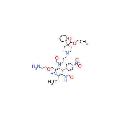 CCOC(=O)C1(c2ccccc2)CCN(CCCN(C=O)C2=C(COCCN)NC(CC)=C(NC=O)C2c2ccc([N+](=O)[O-])cc2)CC1